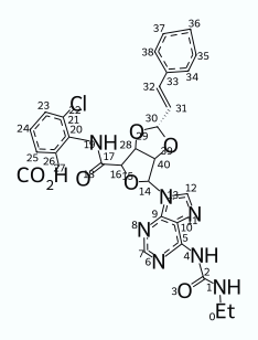 CCNC(=O)Nc1ncnc2c1ncn2C1OC(C(=O)Nc2c(Cl)cccc2C(=O)O)C2O[C@H](/C=C/c3ccccc3)OC21